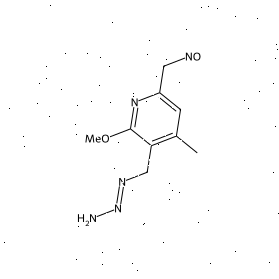 COc1nc(CN=O)cc(C)c1CN=NN